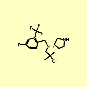 CC(C)(O)CN(Cc1ccc(F)cc1C(F)(F)F)[C@H]1CCNC1